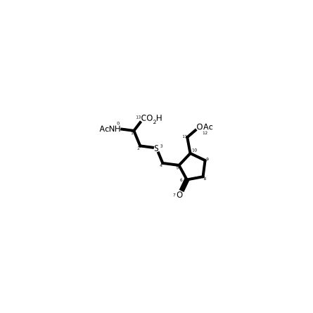 CC(=O)NC(CSCC1C(=O)CCC1COC(C)=O)C(=O)O